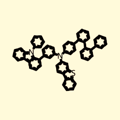 c1ccc(-c2ccccc2-c2ccccc2-c2ccc(N(c3cccc(-c4cccc5c6ccccc6n(-c6ccccc6)c45)c3)c3ccc4c(c3)sc3ccccc34)cc2)cc1